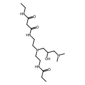 CCNC(=O)CC(=O)NCCN(CCNC(=O)CC)CC(O)CN(C)C